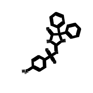 Cc1ccc(S(=O)(=O)/N=C2\NC(=O)C(c3ccccc3)(c3ccccc3)N2)cc1